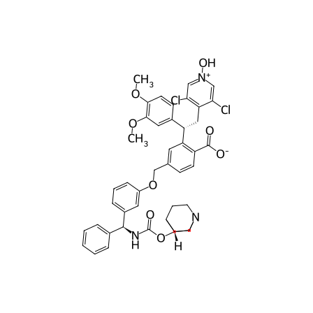 COc1ccc([C@H](Cc2c(Cl)c[n+](O)cc2Cl)c2cc(COc3cccc([C@@H](NC(=O)O[C@H]4CN5CCC4CC5)c4ccccc4)c3)ccc2C(=O)[O-])cc1OC